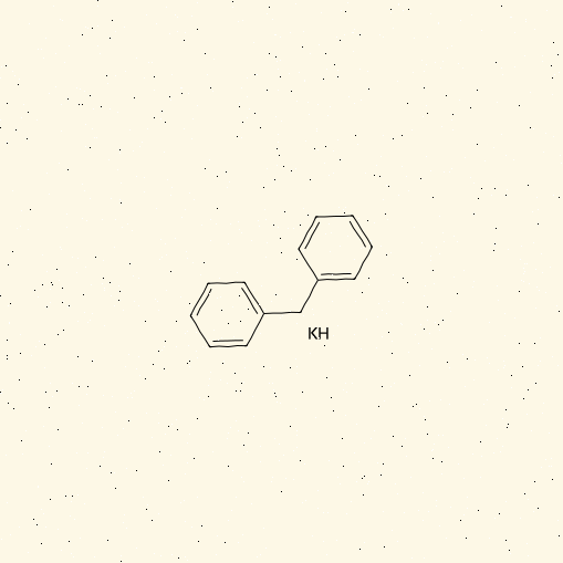 [KH].c1ccc(Cc2ccccc2)cc1